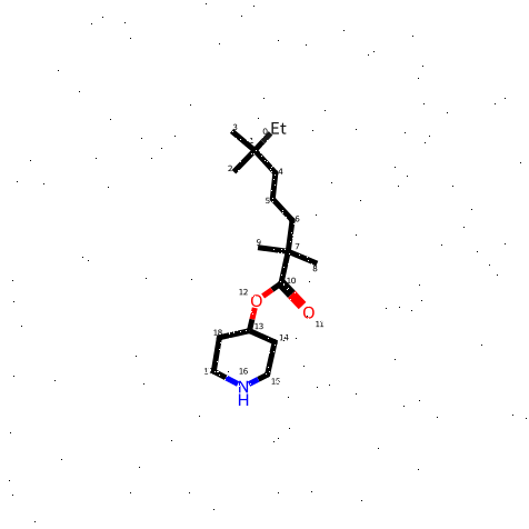 CCC(C)(C)CCCC(C)(C)C(=O)OC1CCNCC1